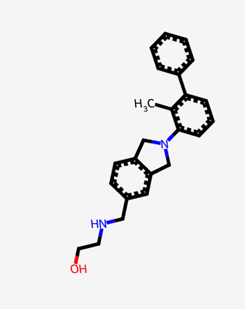 Cc1c(-c2ccccc2)cccc1N1Cc2ccc(CNCCO)cc2C1